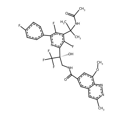 COc1cc(C(=O)NC[C@](O)(c2nc(-c3ccc(F)cc3)c(F)c(C(C)(C)NC(C)=O)c2F)C(F)(F)F)cc2cc(C)nnc12